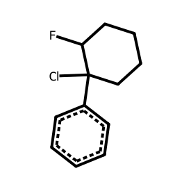 FC1CCCCC1(Cl)c1ccccc1